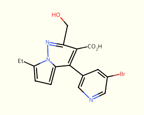 CCc1ccc2c(-c3cncc(Br)c3)c(C(=O)O)c(CO)nn12